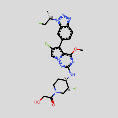 COc1nc(N[C@H]2CCN(C(=O)CO)C[C@H]2F)nn2cc(F)c(-c3ccc4nnn([C@@H](C)CF)c4c3)c12